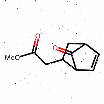 COC(=O)CC1CC2C=CC1C2=O